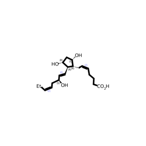 CC/C=C\C[C@H](O)/C=C/[C@@H]1[C@@H](C/C=C\CCCC(=O)O)[C@@H](O)C[C@H]1O